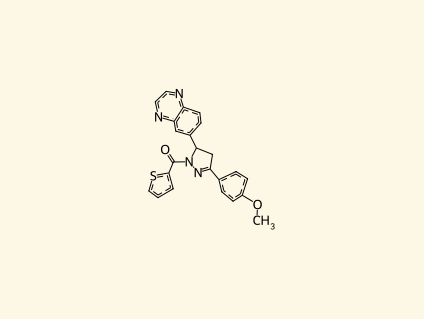 COc1ccc(C2=NN(C(=O)c3cccs3)C(c3ccc4nccnc4c3)C2)cc1